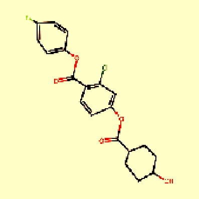 O=C(Oc1ccc(F)cc1)c1ccc(OC(=O)C2CCC(O)CC2)cc1Cl